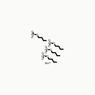 CCCCO[PH](=O)[O-].CCCCO[PH](=O)[O-].CCCCO[PH](=O)[O-].CCCCO[PH](=O)[O-].[Mo+4]